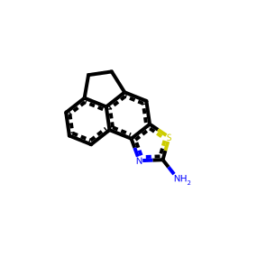 Nc1nc2c(cc3c4c(cccc42)CC3)s1